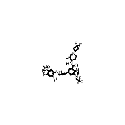 COc1cc(F)c(S(C)(=O)=O)cc1NCC#Cc1cc(C(=O)N[C@H]2CCN(C3CC(F)(F)C3)C[C@@H]2C)c2ncn(CC(F)(F)F)c2c1